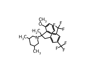 [CH2]C(Cc1cc(C(F)(F)F)cc(C(F)(F)F)c1)(c1ccccc1OC)N1CC(C)CC(C)C1